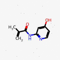 C=C(C)C(=O)Nc1cc(O)ccn1